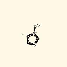 CCC[n+]1ccsc1.[I-]